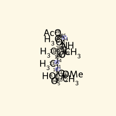 CO[C@@]1(C)C[C@@]2(CO2)[C@H](O)C(/C=C/C(C)=C/C[C@@H]2O[C@H](C)[C@H](NC(=O)/C=C\[C@H](C)OC(C)=O)C[C@@H]2C)O1